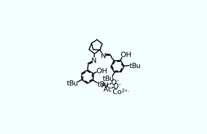 CC(=O)[O-].CC(=O)[O-].CC(C)(C)c1cc(C=NC2CC3CCC2(N=Cc2cc(C(C)(C)C)cc(C(C)(C)C)c2O)C3)c(O)c(C(C)(C)C)c1.[Co+2]